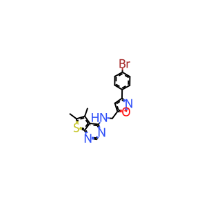 Cc1sc2ncnc(NCc3cc(-c4ccc(Br)cc4)no3)c2c1C